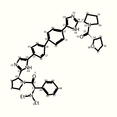 CCN(CC)[C@@H](C(=O)N1CCC[C@H]1c1ncc(-c2ccc(-c3ccc(-c4cnc([C@@H]5CCCN5C(=O)[C@@H]5CCCO5)[nH]4)cc3)cc2)[nH]1)c1ccccc1